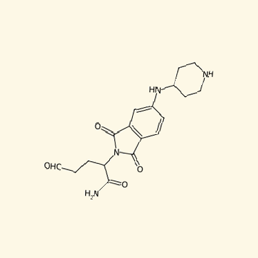 NC(=O)C(CCC=O)N1C(=O)c2ccc(NC3CCNCC3)cc2C1=O